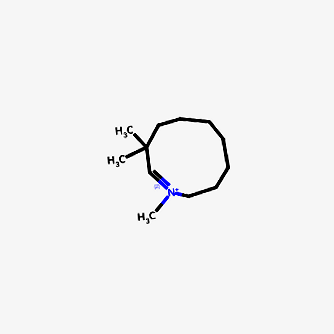 C/[N+]1=C/C(C)(C)CCCCCCC1